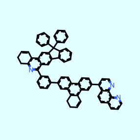 C1=Cc2c(nc(-c3cccc(-c4ccc5c(c4)c4c(c6cc(-c7ccnc8c7ccc7cccnc78)ccc65)C=CCC4)c3)c3cc4c(cc23)C(c2ccccc2)(c2ccccc2)c2ccccc2-4)CC1